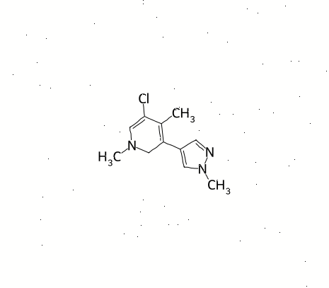 CC1=C(c2cnn(C)c2)CN(C)C=C1Cl